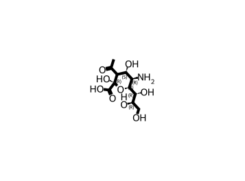 CC(=O)C1[C@H](O)[C@@H](N)[C@H]([C@H](O)[C@H](O)CO)O[C@@]1(O)C(=O)O